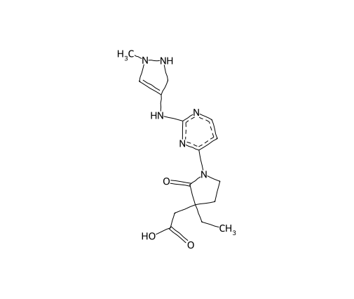 CCC1(CC(=O)O)CCN(c2ccnc(NC3=CN(C)NC3)n2)C1=O